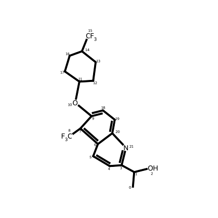 CC(O)c1ccc2c(C(F)(F)F)c(OC3CCC(C(F)(F)F)CC3)ccc2n1